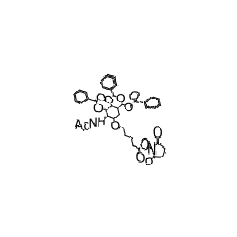 CC(=O)N[C@@H]1[C@@H](OC(=O)c2ccccc2)[C@@H](OC(=O)c2ccccc2)[C@@H](COC(=O)c2ccccc2)C[C@H]1OCCCCC(=O)ON1C(=O)CCC1=O